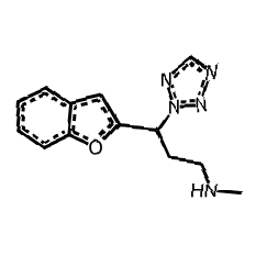 CNCCC(c1cc2ccccc2o1)n1ncnn1